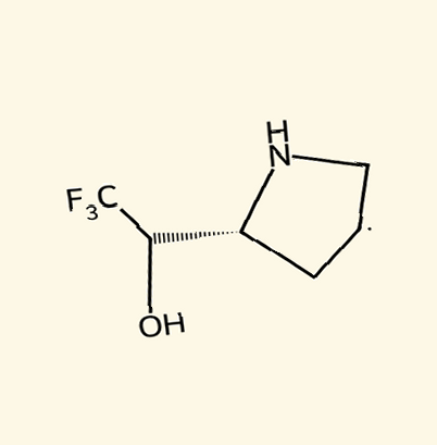 OC([C@H]1C[CH]CN1)C(F)(F)F